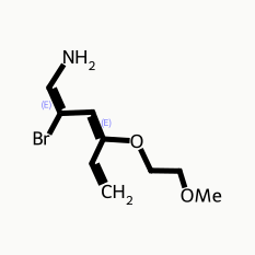 C=C/C(=C\C(Br)=C/N)OCCOC